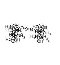 NCC1O[C@H](OC2[C@@H](N)CC(N)[C@H](O[C@H]3O[C@H](CSCCOCCSSCCOCCSCC4O[C@H](O[C@@H]5C(O)C(O[C@H]6O[C@H](CN)[C@@H](O)CC6N)[C@@H](N)C[C@H]5N)C(O)[C@@H](N)[C@@H]4O)[C@@H](O)C(N)C3O)[C@H]2O)C(O)[C@@H](O)[C@@H]1O